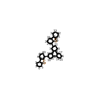 c1ccc2c(c1)sc1c(-c3ccc4c5ccccc5c5ccc(-c6cccc7c6sc6ccccc67)cc5c4c3)cccc12